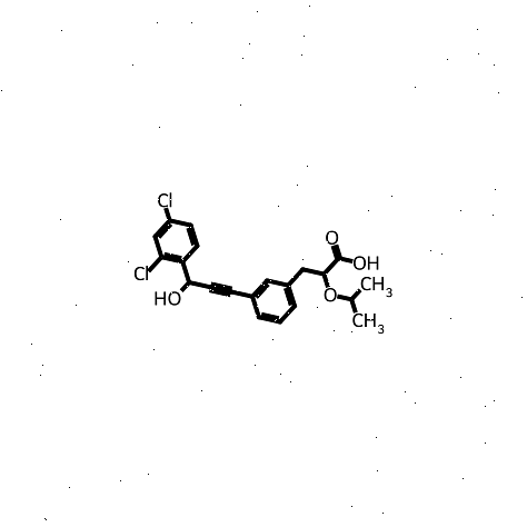 CC(C)OC(Cc1cccc(C#CC(O)c2ccc(Cl)cc2Cl)c1)C(=O)O